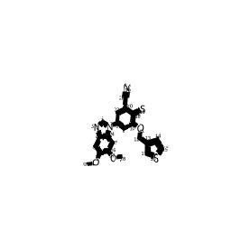 COc1cc2ncn(C3=CC(OCc4ccsc4)C(=S)C(C#N)=C3)c2cc1OC